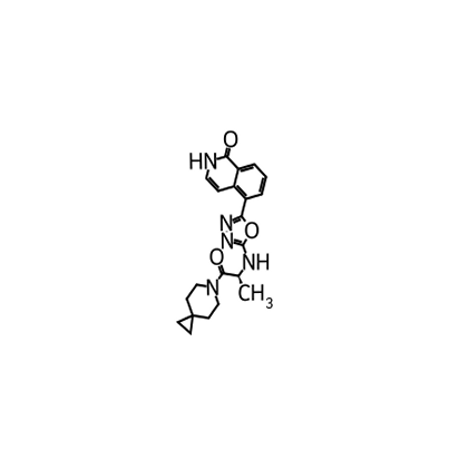 C[C@H](Nc1nnc(-c2cccc3c(=O)[nH]ccc23)o1)C(=O)N1CCC2(CC1)CC2